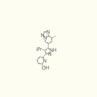 Cc1cc(-c2[nH]nc(-c3cccc(O)n3)c2C(C)C)cn2ncnc12